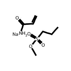 C=CC(N)=O.CCCS(=O)(=O)OC.[Na]